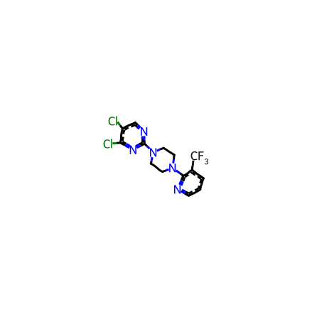 FC(F)(F)c1cccnc1N1CCN(c2ncc(Cl)c(Cl)n2)CC1